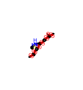 C=CC(=O)Oc1ccc(OC(=O)C2CCC(C(=O)Oc3ccc(OC(=O)C4CCC(C(=O)Oc5ccc(OC(=O)C=C)c(OC)c5)CC4)cc3/C=N/Nc3nc4ccccc4s3)CC2)cc1